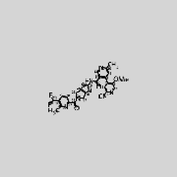 COc1cnc(Cl)cc1-c1cc(C)ncc1C(=O)Nc1nc2c(s1)CN(C(=O)c1ccc(C(F)F)c(C)n1)C2